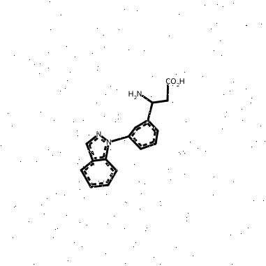 NC(CC(=O)O)c1cccc(-n2ncc3ccccc32)c1